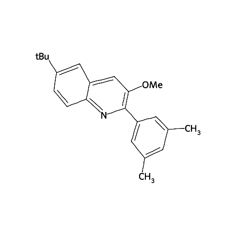 COc1cc2cc(C(C)(C)C)ccc2nc1-c1cc(C)cc(C)c1